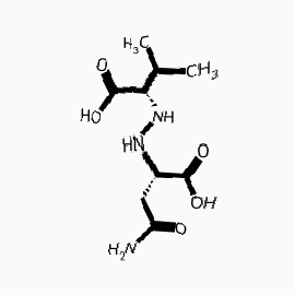 CC(C)[C@H](NN[C@@H](CC(N)=O)C(=O)O)C(=O)O